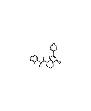 O=C(NC1CCCn2c1nc(-c1ccncn1)cc2=O)c1cccnc1F